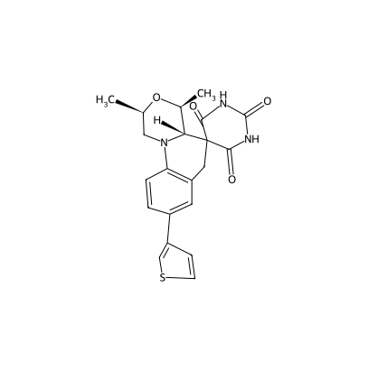 C[C@@H]1CN2c3ccc(-c4ccsc4)cc3CC3(C(=O)NC(=O)NC3=O)[C@H]2[C@H](C)O1